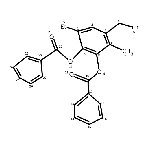 CCc1cc(CC(C)C)c(C)c(OC(=O)c2ccccc2)c1OC(=O)c1ccccc1